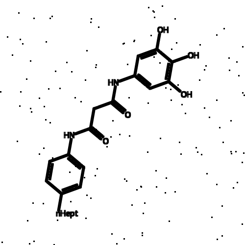 CCCCCCCc1ccc(NC(=O)CC(=O)Nc2cc(O)c(O)c(O)c2)cc1